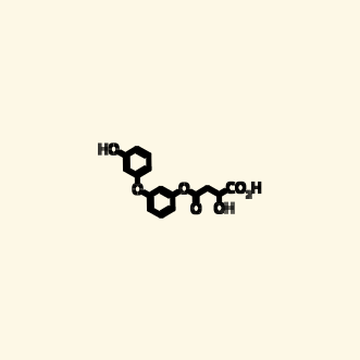 O=C(CC(O)C(=O)O)Oc1cccc(Oc2cccc(O)c2)c1